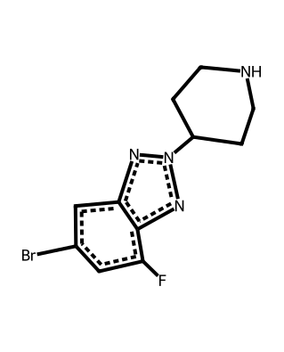 Fc1cc(Br)cc2nn(C3CCNCC3)nc12